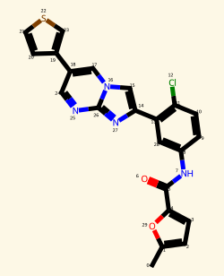 Cc1ccc(C(=O)Nc2ccc(Cl)c(-c3cn4cc(-c5ccsc5)cnc4n3)c2)o1